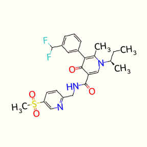 CC[C@@H](C)n1cc(C(=O)NCc2ccc(S(C)(=O)=O)cn2)c(=O)c(-c2cccc(C(F)F)c2)c1C